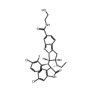 CCN1[C@H]2Cc3c4ccc(C(=O)NCCO)cc4nn3[C@H]2[C@H](c2cccc(Cl)c2F)[C@]12C(=O)Nc1cc(Cl)ccc12